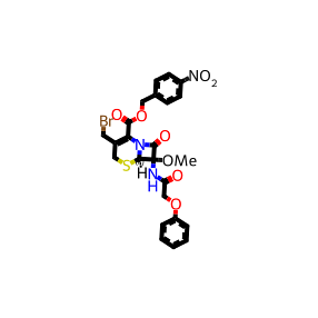 COC1(NC(=O)COc2ccccc2)C(=O)N2C(C(=O)OCc3ccc([N+](=O)[O-])cc3)=C(CBr)CS[C@@H]21